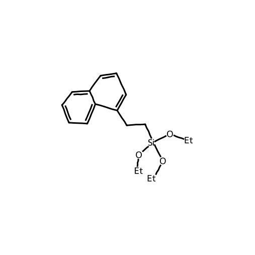 CCO[Si](CCc1cccc2ccccc12)(OCC)OCC